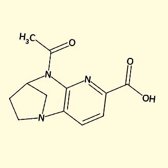 CC(=O)N1c2nc(C(=O)O)ccc2N2CCC1C2